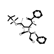 C[C@H](C(=S)c1ccccc1)[C@@H]1[C@@H]([C@@H](C)O[Si](C)(C)C(C)(C)C)C(=O)N1C(C=O)Sc1ccccc1